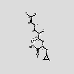 CCCC(=O)N(CC1CC1)C[C@@H](CC)C(C)CCC=C(C)C